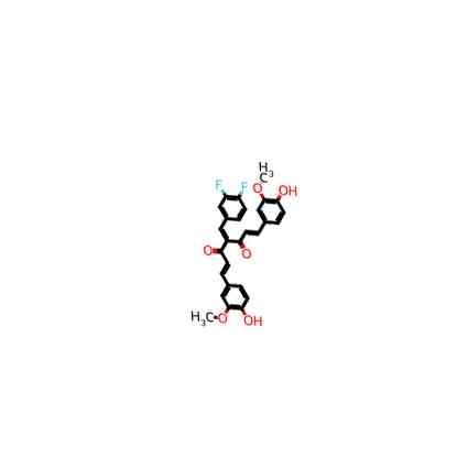 COc1cc(/C=C/C(=O)C(=Cc2ccc(F)c(F)c2)C(=O)/C=C/c2ccc(O)c(OC)c2)ccc1O